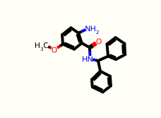 COc1ccc(N)c(C(=O)NC(c2ccccc2)c2ccccc2)c1